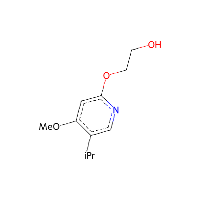 COc1cc(OCCO)ncc1C(C)C